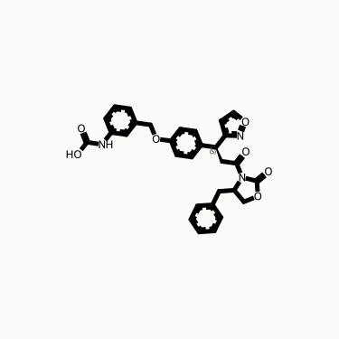 O=C(O)Nc1cccc(COc2ccc([C@H](CC(=O)N3C(=O)OCC3Cc3ccccc3)c3ccon3)cc2)c1